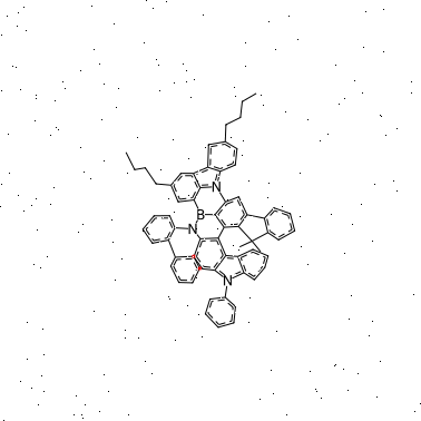 CCCCc1ccc2c(c1)c1cc(CCCC)cc3c1n2-c1cc2c(c4c1B3N(c1ccccc1-c1ccccc1)c1ccc3c(c1-4)c1ccccc1n3-c1ccccc1)C(C)(C)c1ccccc1-2